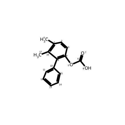 Cc1ccc(OC(=O)O)c(-c2ccccc2)c1C